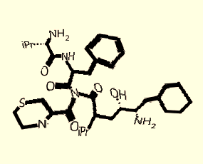 CC(C)C(C[C@H](O)[C@@H](N)CC1CCCCC1)C(=O)N(C(=O)C1CSCC[N]1)C(=O)C(Cc1ccccc1)NC(=O)[C@@H](N)C(C)C